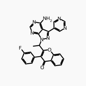 CC(c1oc2ccccc2c(=O)c1-c1cccc(F)c1)n1nc(-c2cncnc2)c2c(N)ncnc21